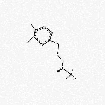 Cc1ccc(CCNC(=O)C(F)(F)F)cc1I